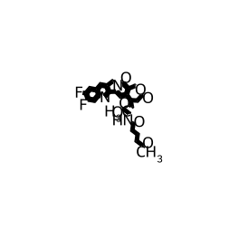 CCC1(OC(=O)CNC(=O)CCCC(C)=O)CC(=O)OCc2c1cc1n(c2=O)Cc2cc3cc(F)c(F)cc3nc2-1